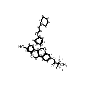 CC(C)(C)C(=O)Oc1ccc2c(c1)O[C@@H](c1ccc(OCCN3CCCCC3)cc1)C1=C2COc2cc(O)ccc21